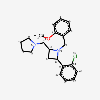 COc1ccccc1CN1C(CN2CCCC2)CC1c1ccccc1Cl